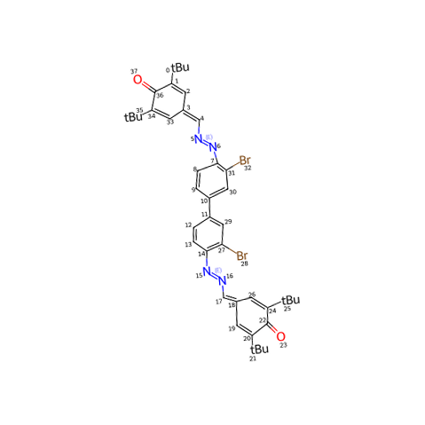 CC(C)(C)C1=CC(=C/N=N/c2ccc(-c3ccc(/N=N/C=C4C=C(C(C)(C)C)C(=O)C(C(C)(C)C)=C4)c(Br)c3)cc2Br)C=C(C(C)(C)C)C1=O